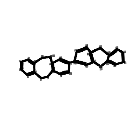 c1ccc2c(c1)CCc1ccc(-c3ccc4c(c3)Oc3ccccc3C4)cc1SC2